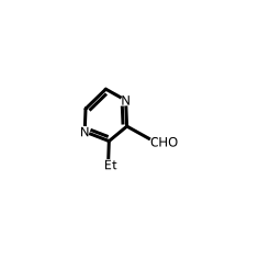 CCc1nccnc1C=O